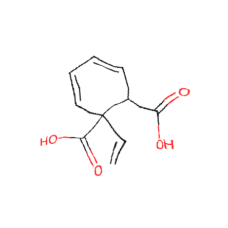 C=CC1(C(=O)O)C=CC=CC1C(=O)O